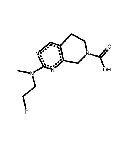 CN(CCF)c1ncc2c(n1)CN(C(=O)O)CC2